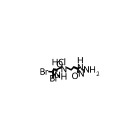 Cl.Cn1c(C(=O)NCCC=C2NC(N)=NC2=O)cc(Br)c1Br